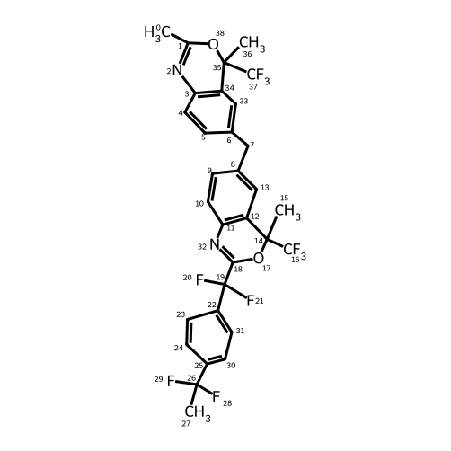 CC1=Nc2ccc(Cc3ccc4c(c3)C(C)(C(F)(F)F)OC(C(F)(F)c3ccc(C(C)(F)F)cc3)=N4)cc2C(C)(C(F)(F)F)O1